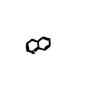 C1=CC2=NC=CCC2C=C1